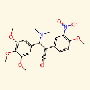 COc1ccc(C(=C=O)C(c2cc(OC)c(OC)c(OC)c2)N(C)C)cc1[N+](=O)[O-]